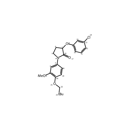 COc1cc(N2CCC(Oc3cccc(Cl)c3)C2=O)ccc1OCC(C)(C)C